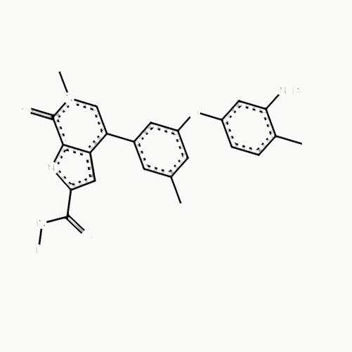 CCNC(=O)c1cc2c(-c3cc(C)cc(Oc4ccc(C)c(NC(C)=O)c4)c3)cn(C)c(=O)c2[nH]1